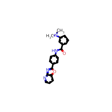 CN(C)c1cccc(C(=O)Nc2ccc(-c3nc4ncccc4o3)cc2)c1